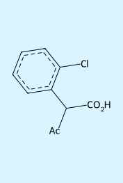 CC(=O)C(C(=O)O)c1ccccc1Cl